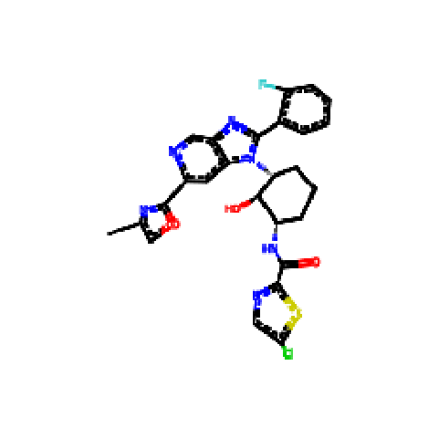 Cc1coc(-c2cc3c(cn2)nc(-c2ccccc2F)n3[C@@H]2CCC[C@H](NC(=O)c3ncc(Cl)s3)[C@H]2O)n1